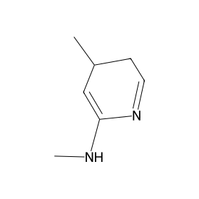 CNC1=CC(C)CC=N1